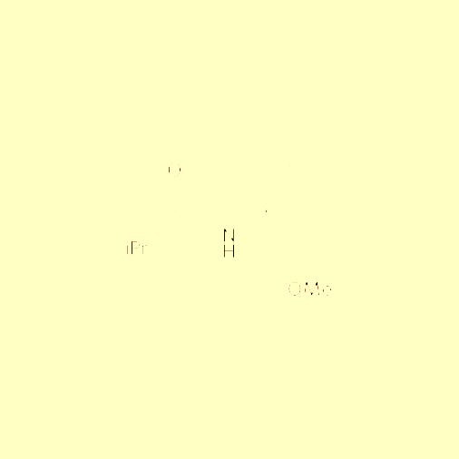 COCC1(NC(=O)C(C)C)CC1